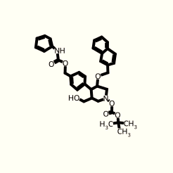 CC(C)(C)OC(=O)ON1CC(CO)C(c2ccc(COC(=O)Nc3ccccc3)cc2)C(OCc2ccc3ccccc3c2)C1